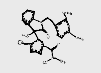 CCN(CC)C(=O)c1ccc(Cl)c(C2(C)C(=O)N(Cc3ccc(OC)cc3OC)c3ccccc32)c1